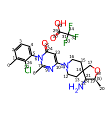 Cc1cccc(-n2c(C)nc(N3CCC4(CC3)CO[C@@H](C)[C@H]4N)cc2=O)c1Cl.O=C(O)C(F)(F)F